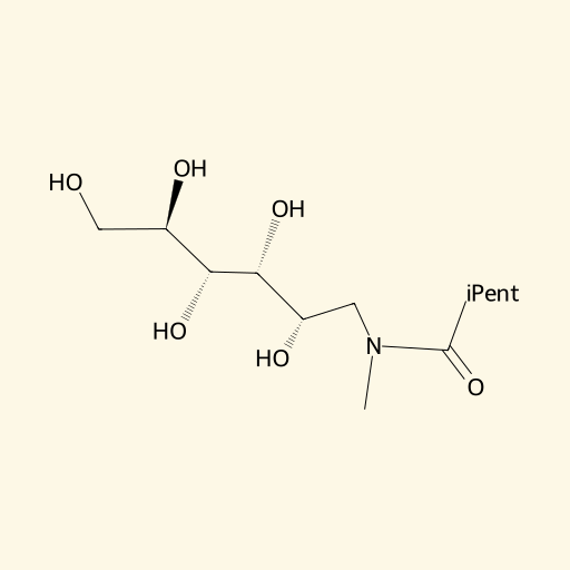 CCCC(C)C(=O)N(C)C[C@H](O)[C@@H](O)[C@H](O)[C@H](O)CO